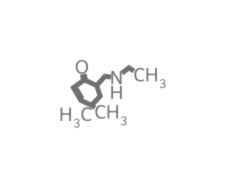 CCNCC1CC(C)(C)C=CC1=O